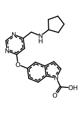 O=C(O)n1ccc2cc(Oc3cc(CNC4CCCC4)ncn3)ccc21